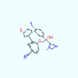 COc1cccc(-c2cc(C#N)ccc2OCC(O)(c2ccc(C#N)cc2)c2cncn2C)c1